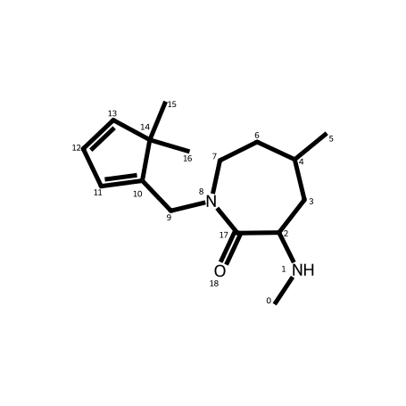 CNC1CC(C)CCN(CC2=CC=CC2(C)C)C1=O